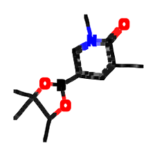 Cc1cc(B2OC(C)C(C)(C)O2)cn(C)c1=O